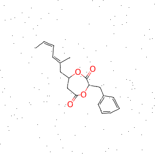 C/C=C\C=C(/C)CC1CC(=O)OC(Cc2ccccc2)C(=O)O1